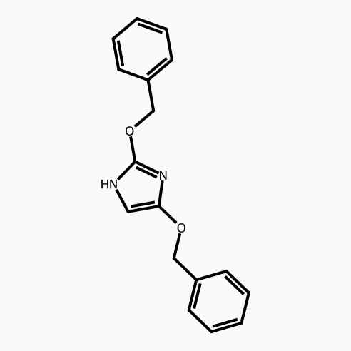 c1ccc(COc2c[nH]c(OCc3ccccc3)n2)cc1